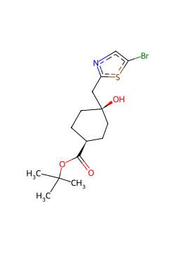 CC(C)(C)OC(=O)[C@H]1CC[C@](O)(Cc2ncc(Br)s2)CC1